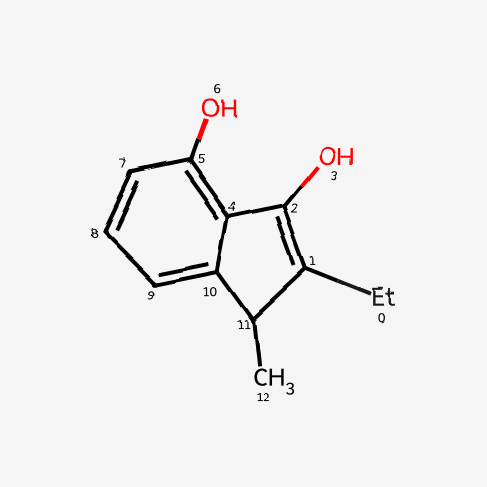 CCC1=C(O)c2c(O)cccc2C1C